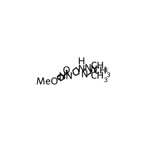 COc1ccc(C(=O)N[C@H]2CC[C@@H](Nc3ncc(C)c(N(C)C)n3)CC2)cc1